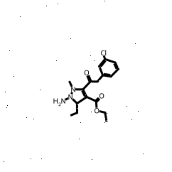 CCOC(=O)C1=C(C(=O)Cc2cccc(Cl)c2)N(C)N(N)C1CC